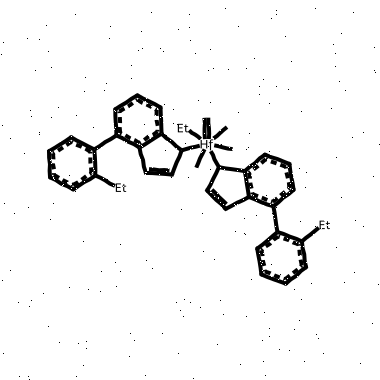 [CH2]=[Hf]([CH3])([CH3])([CH3])([CH2]C)([CH]1C=Cc2c(-c3ccccc3CC)cccc21)[CH]1C=Cc2c(-c3ccccc3CC)cccc21